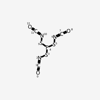 O=C=NSP(SN=C=O)SN=C=O